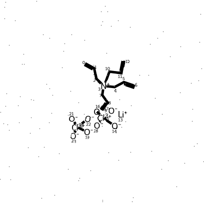 C=CC[N+](CC=C)(CC=C)CC=C.[Li+].[O-][Cl+3]([O-])([O-])[O-].[O-][Cl+3]([O-])([O-])[O-]